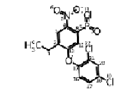 CCc1cc([N+](=O)[O-])c([PH](=O)Cl)cc1Oc1ccc(Cl)cc1Cl